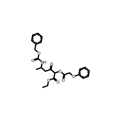 CCOC(=O)C(OC(=O)COc1ccccc1)C(=O)CC(C)NC(=O)OCc1ccccc1